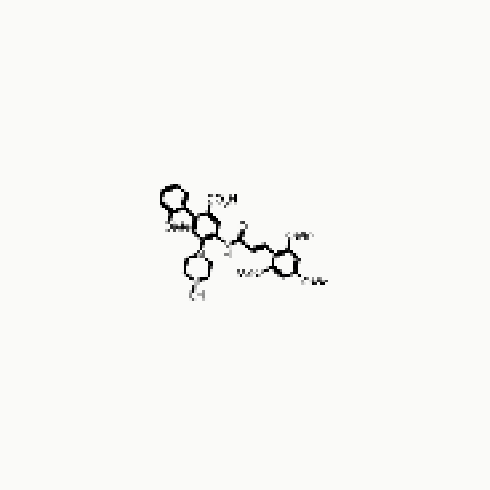 COc1cc(OC)c(C=CC(=O)Nc2cc(C(=O)O)c(-c3ccccc3OC)cc2N2CCN(C)CC2)c(OC)c1